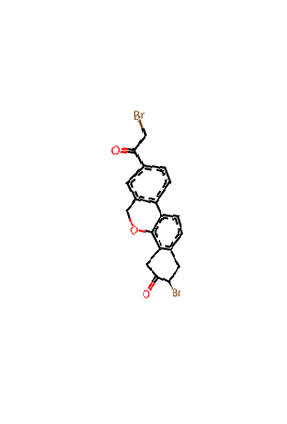 O=C(CBr)c1ccc2c(c1)COc1c-2ccc2c1CC(=O)C(Br)C2